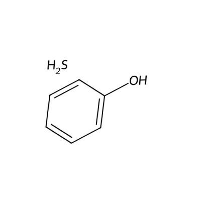 Oc1ccccc1.S